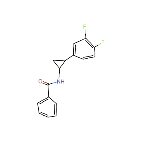 O=C(NC1CC1c1ccc(F)c(F)c1)c1ccccc1